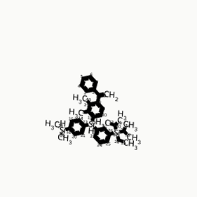 C=C(c1ccccc1)c1ccc([SiH](c2ccc([SiH](C)C)cc2)c2cccc([Si](CC)(C(C)C)C(C)C)c2)c(C)c1C